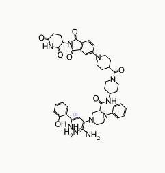 NC(N)=C(/C=C(\N)c1ccccc1O)N1CCN(c2ccccc2)C(C(=O)NC2CCN(C(=O)C3CCN(c4ccc5c(c4)C(=O)N(C4CCC(=O)NC4=O)C5=O)CC3)CC2)C1